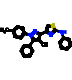 Cc1ccc(-n2nc(-c3csc(Nc4ccccc4)n3)c(C#N)c2-c2ccccc2)cc1